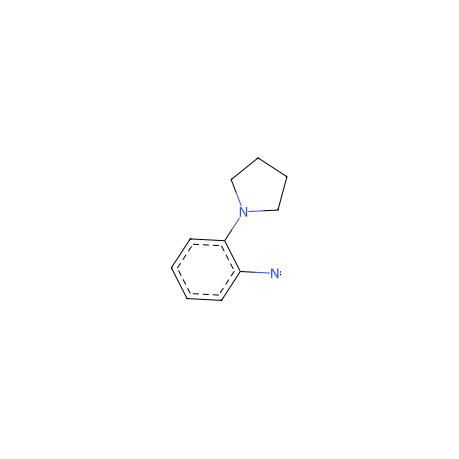 [N]c1ccccc1N1CCCC1